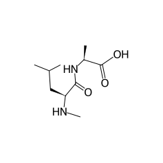 CN[C@@H](CC(C)C)C(=O)N[C@@H](C)C(=O)O